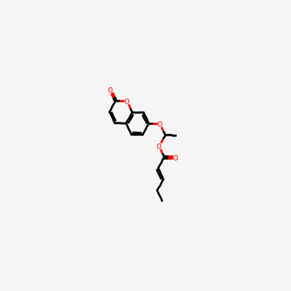 CC/C=C/C(=O)OC(C)Oc1ccc2ccc(=O)oc2c1